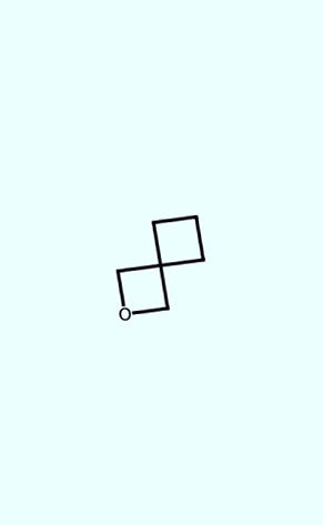 C1CC2(C1)COC2